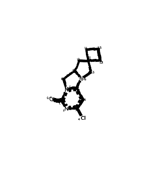 O=c1nc(Cl)cc2n1CC1CC3(CCC3)CN21